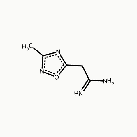 Cc1noc(CC(=N)N)n1